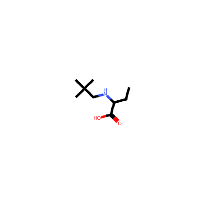 CCC(NCC(C)(C)C)C(=O)O